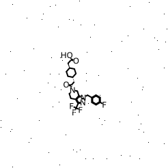 O=C(O)C[C@H]1CC[C@H](CC(=O)N2CCc3c(C(F)(F)F)nn(Cc4ccc(F)cc4)c3C2)CC1